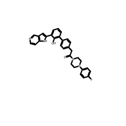 O=C(Cc1ccc(-c2cccc(-c3cc4cnccc4[nH]3)c2O)cc1)N1CCN(c2ccc(F)cc2)CC1